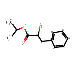 CC(C)OC(=O)C(Cl)Cc1ccccc1